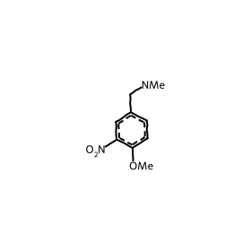 CNCc1ccc(OC)c([N+](=O)[O-])c1